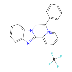 F[B-](F)(F)F.c1ccc(-c2cn3c4ccccc4nc3c3cccc[n+]23)cc1